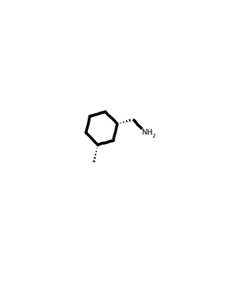 C[C@@H]1CCC[C@H](CN)C1